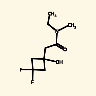 CCN(C)C(=O)CC1(O)CC(F)(F)C1